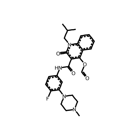 CC(C)Cn1c(=O)c(C(=O)Nc2ccc(F)c(N3CCN(C)CC3)c2)c(OC=O)c2ccccc21